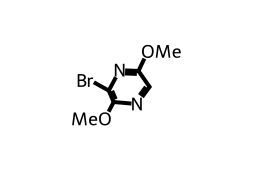 COc1cnc(OC)c(Br)n1